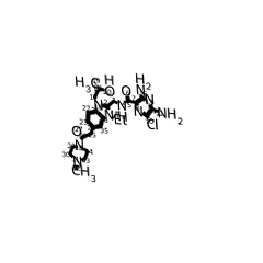 CC[n+]1c(CNC(=O)c2nc(Cl)c(N)nc2N)n(C[C@H](C)O)c2ccc(CC(=O)N3CCN(C)CC3)cc21